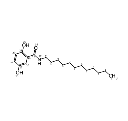 CCCCCCCCCCCCNC(=O)c1cc(O)ccc1O